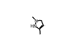 CC1=[C]CN(C)N1